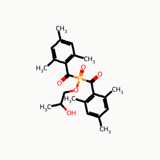 Cc1cc(C)c(C(=O)P(=O)(OCC(C)O)C(=O)c2c(C)cc(C)cc2C)c(C)c1